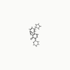 O=c1c2c(ncn1C1CCCCC1)C1=C(C3CCCC3)C=CN(C1)S2